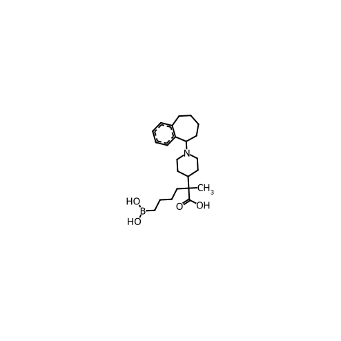 CC(CCCCB(O)O)(C(=O)O)C1CCN(C2CCCCc3ccccc32)CC1